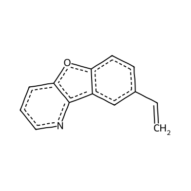 C=Cc1ccc2oc3cccnc3c2c1